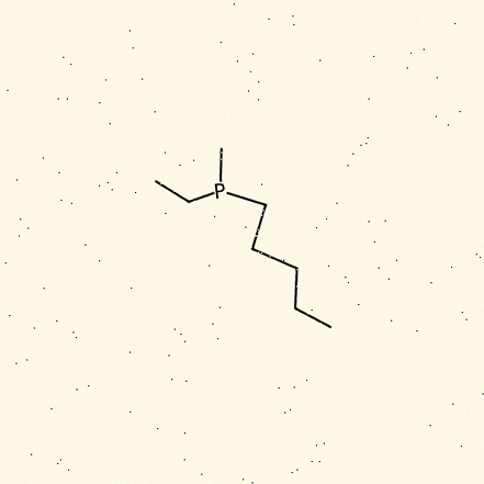 CCCCCP(C)CC